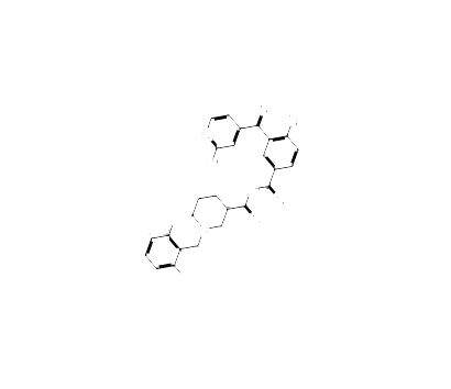 N=C(OC(=N)C1CCCN(Cc2c(F)cccc2F)C1)c1ccc(N)c(C(=N)c2ccnc(Cl)c2)c1